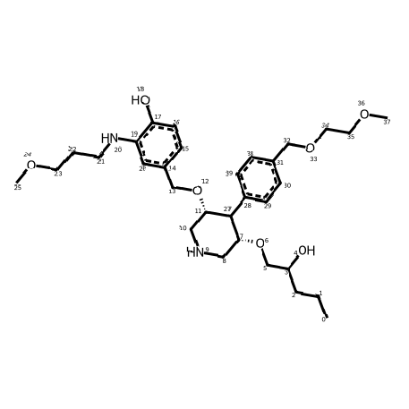 CCCC(O)CO[C@@H]1CNC[C@H](OCc2ccc(O)c(NCCCOC)c2)C1c1ccc(COCCOC)cc1